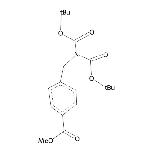 COC(=O)c1ccc(CN(C(=O)OC(C)(C)C)C(=O)OC(C)(C)C)cc1